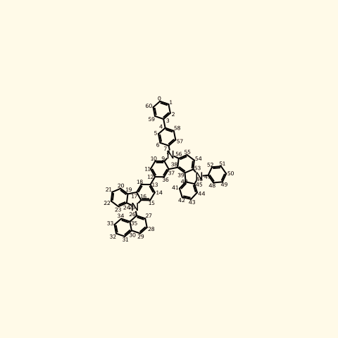 c1ccc(-c2ccc(-n3c4ccc(-c5ccc6c(c5)c5ccccc5n6-c5cccc6ccccc56)cc4c4c5c6ccccc6n(-c6ccccc6)c5ccc43)cc2)cc1